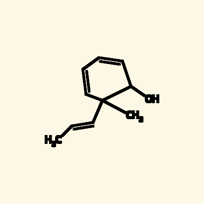 CC=CC1(C)C=CC=CC1O